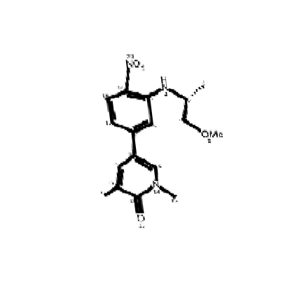 COC[C@@H](C)Nc1cc(-c2cc(C)c(=O)n(C)c2)ccc1[N+](=O)[O-]